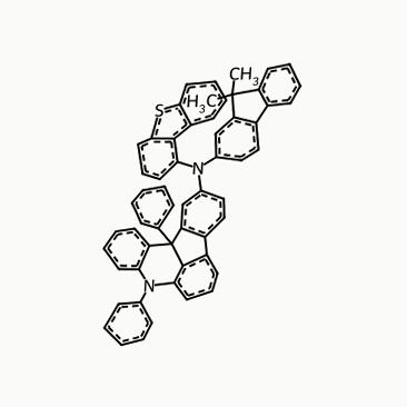 CC1(C)c2ccccc2-c2ccc(N(c3ccc4c(c3)C3(c5ccccc5)c5ccccc5N(c5ccccc5)c5cccc-4c53)c3cccc4sc5ccccc5c34)cc21